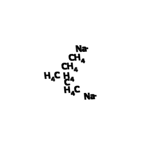 C.C.C.C.C.[Na].[Na]